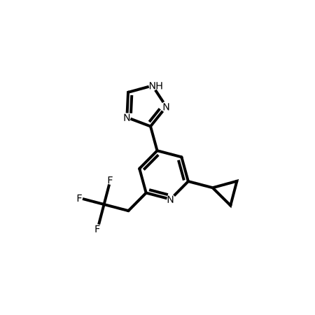 FC(F)(F)Cc1cc(-c2nc[nH]n2)cc(C2CC2)n1